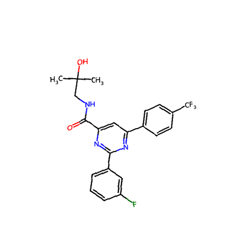 CC(C)(O)CNC(=O)c1cc(-c2ccc(C(F)(F)F)cc2)nc(-c2cccc(F)c2)n1